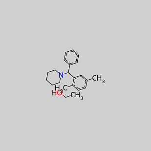 CCO.Cc1ccc(C)c(C(c2ccccc2)N2CCCCC2)c1